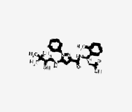 Cc1ccccc1[C@H](CC(=O)O)NC(=O)c1cc(NCC(O)C(C)(C)C)n(-c2ccccc2)n1